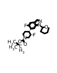 CC(C)(C)OC(=O)N1CC[C@H](c2cc3c(cnn3C3CCCCO3)cc2F)[C@H](F)C1